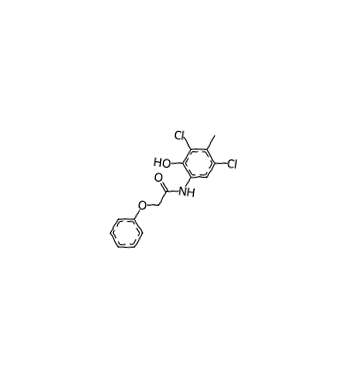 Cc1c(Cl)cc(NC(=O)COc2ccccc2)c(O)c1Cl